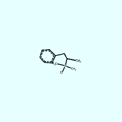 CC(Cc1ccccc1)[Si](C)(C)Cl